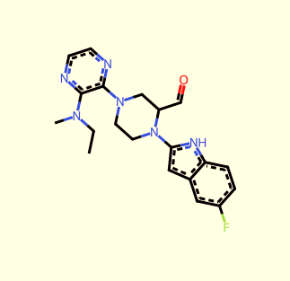 CCN(C)c1nccnc1N1CCN(c2cc3cc(F)ccc3[nH]2)C(C=O)C1